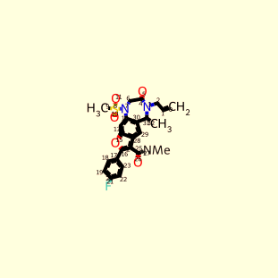 C=CCN1C(=O)CN(S(C)(=O)=O)c2cc3oc(-c4ccc(F)cc4)c(C(=O)NC)c3cc2C1C